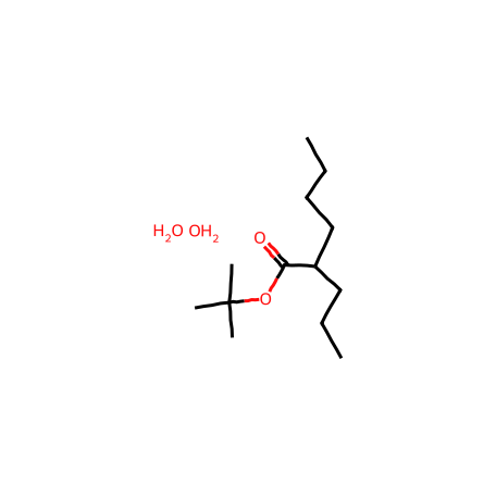 CCCCC(CCC)C(=O)OC(C)(C)C.O.O